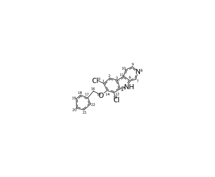 Clc1cc2c([nH]c3cnccc32)c(Cl)c1OCc1ccccc1